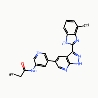 CC(C)CC(=O)Nc1cncc(-c2cnc3[nH]nc(-c4nc5c(C#N)cccc5[nH]4)c3c2)c1